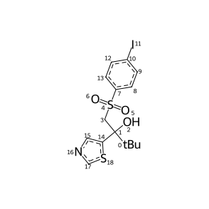 CC(C)(C)C(O)(CS(=O)(=O)c1ccc(I)cc1)c1cncs1